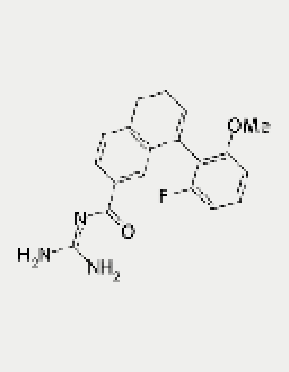 COc1cccc(F)c1C1=CCCc2ccc(C(=O)N=C(N)N)cc21